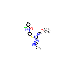 CC1CC(Nc2cc(N3CC(OC(C)C)C3)nc(Sc3ccc(NC(=O)c4ccccc4Cl)cc3)n2)=NN1